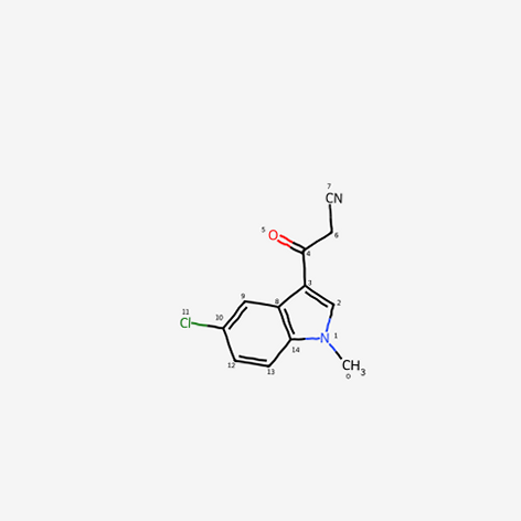 Cn1cc(C(=O)CC#N)c2cc(Cl)ccc21